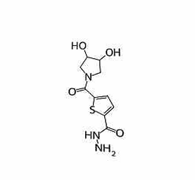 NNC(=O)c1ccc(C(=O)N2CC(O)C(O)C2)s1